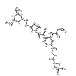 C=CC(=O)Nc1cc(NCCNC2CC(F)(F)C2)ccc1C(=O)Nc1cc(CCc2cc(OC)cc(OC)c2)n[nH]1